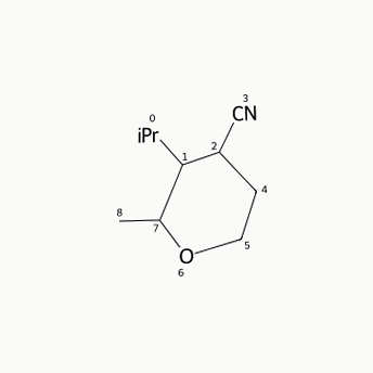 CC(C)C1C(C#N)CCOC1C